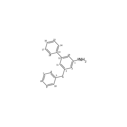 Nc1cc(Cc2ccccc2)cc(-c2cc[c]cc2)c1